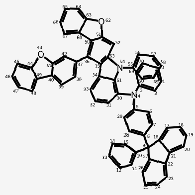 c1ccc(N(c2ccc(C3(c4ccccc4)c4ccccc4-c4ccccc43)cc2)c2cccc3c4c(-c5ccc6c(c5)oc5ccccc56)c5c(cc4n(-c4ccccc4)c23)oc2ccccc25)cc1